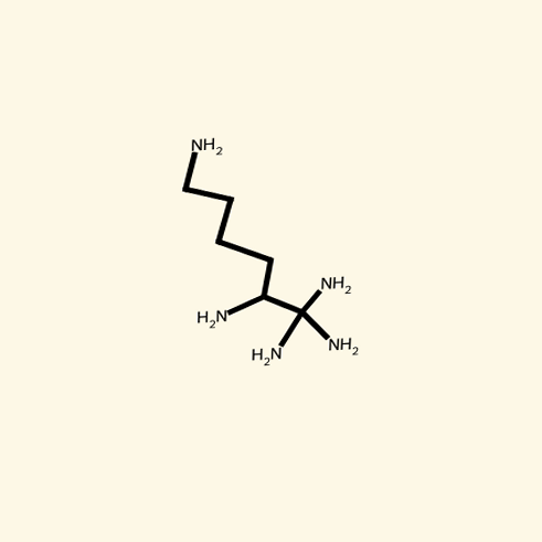 NCCCCC(N)C(N)(N)N